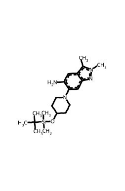 Cc1c2cc(N)c(N3CCC(O[Si](C)(C)C(C)(C)C)CC3)cc2nn1C